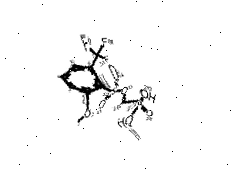 COc1cccc(C(F)(F)F)c1S(=O)(=O)OCP(=O)(O)O